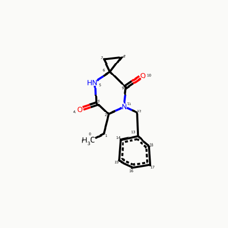 CCC1C(=O)NC2(CC2)C(=O)N1Cc1ccccc1